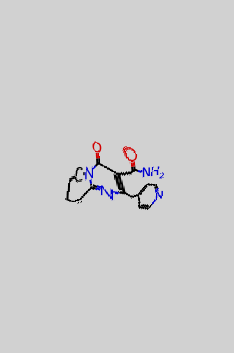 NC(=O)c1c(-c2ccncc2)nc2n(c1=O)CCC[C]2